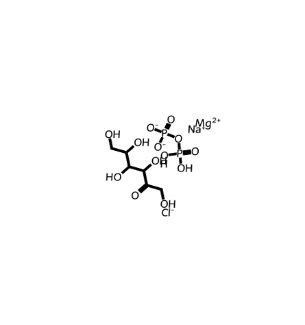 O=C(CO)C(O)C(O)C(O)CO.O=P([O-])([O-])OP(=O)(O)O.[Cl-].[Mg+2].[Na+]